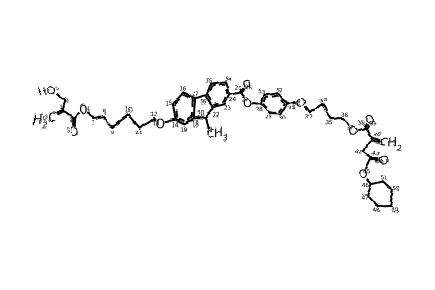 C=C(CO)C(=O)OCCCCCCOc1ccc2c(c1)C(C)c1cc(C(=O)Oc3ccc(OCCCCOC(=O)C(=C)CC(=O)OC4CCCCC4)cc3)ccc1-2